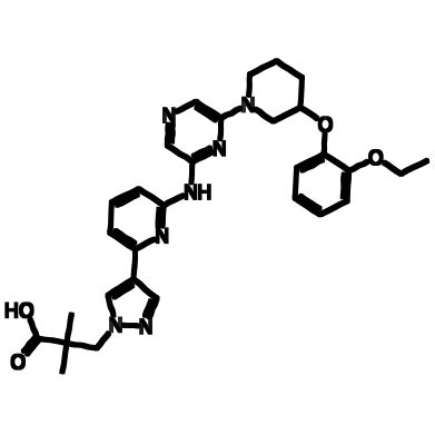 CCOc1ccccc1OC1CCCN(c2cncc(Nc3cccc(-c4cnn(CC(C)(C)C(=O)O)c4)n3)n2)C1